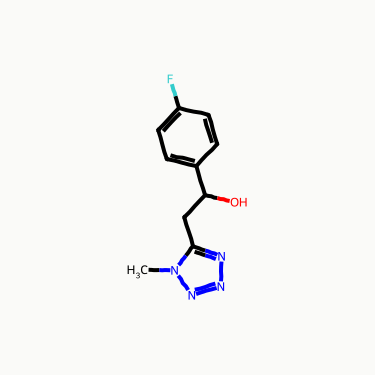 Cn1nnnc1CC(O)c1ccc(F)cc1